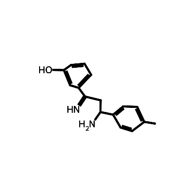 Cc1ccc(C(N)CC(=N)c2cccc(O)c2)cc1